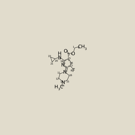 CCOC(=O)c1cc(F)c(N2CCN(C)CC2)nc1NC1CC1